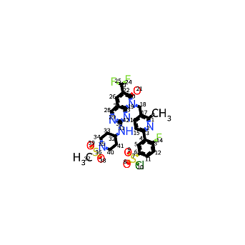 Cc1nc(-c2cc(S(=O)(=O)Cl)ccc2F)ccc1Cn1c(=O)c(C(F)F)cc2cnc(NC3CCN(S(C)(=O)=O)CC3)nc21